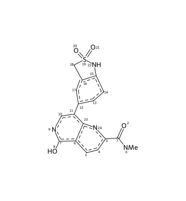 CNC(=O)c1ccc2c(O)ncc(-c3ccc4c(c3)CS(=O)(=O)N4)c2n1